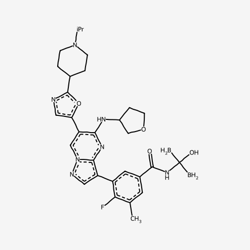 BC(B)(O)NC(=O)c1cc(C)c(F)c(-c2cnn3cc(-c4cnc(C5CCN(C(C)C)CC5)o4)c(NC4CCOC4)nc23)c1